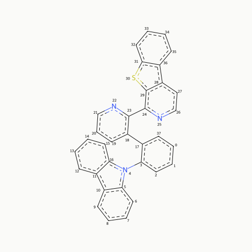 c1ccc(-n2c3ccccc3c3ccccc32)c(-c2cccnc2-c2nccc3c2sc2ccccc23)c1